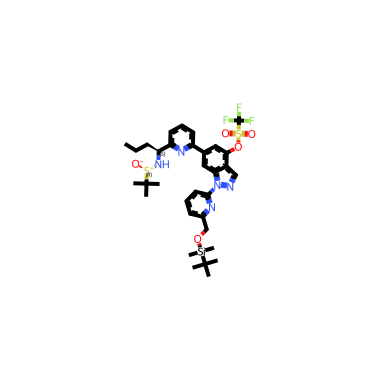 CCC[C@H](N[S@@+]([O-])C(C)(C)C)c1cccc(-c2cc(OS(=O)(=O)C(F)(F)F)c3cnn(-c4cccc(CO[Si](C)(C)C(C)(C)C)n4)c3c2)n1